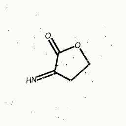 N=C1CCOC1=O